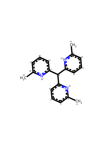 Cc1cccc(C(c2cccc(C)n2)c2cccc(C)n2)n1